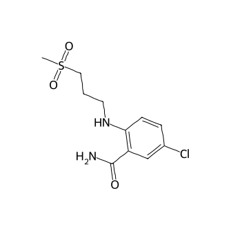 CS(=O)(=O)CCCNc1ccc(Cl)cc1C(N)=O